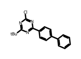 CC(C)(C)c1nc(Cl)nc(-c2ccc(-c3ccccc3)cc2)n1